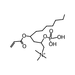 C=CC(=O)OC(CCCCCCC)CC(C[N+](C)(C)C)OP(=O)(O)O